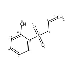 C=CCS(=O)(=O)c1ccccc1C#N